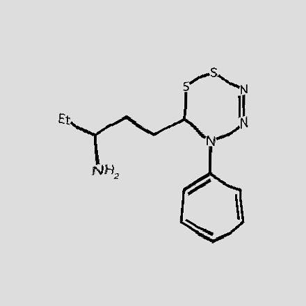 CCC(N)CCC1SSN=NN1c1ccccc1